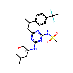 CC(C)C[C@H](CO)Nc1nc(CC(C)c2ccc(C(C)(F)F)cc2)nc(NS(C)(=O)=O)n1